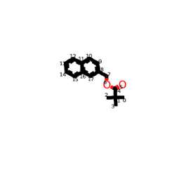 CC(C)(C)C(=O)OCc1ccc2ccccc2c1